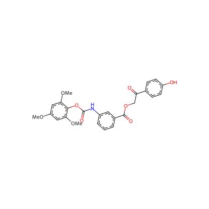 COc1cc(OC)c(OC(=O)Nc2cccc(C(=O)OCC(=O)c3ccc(O)cc3)c2)c(OC)c1